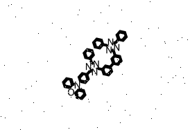 c1ccc(-c2nc(-c3ccccc3)nc(-c3cccc(-c4cccc(-c5nc(-c6ccccc6)nc(-c6ccc(N7c8ccccc8Oc8ccccc87)cc6)n5)c4)c3)n2)cc1